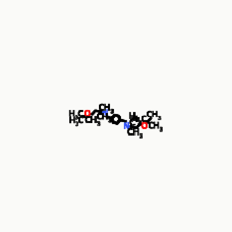 CCC(C)(C)OCCC(C)(C)/N=C/c1ccc(/C=N/C(C)(C)CCOC(C)(C)C)cc1